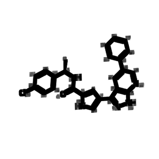 C[C@@H](NC(=O)c1cc(-c2n[nH]c3ncc(-c4ccccc4)cc23)c[nH]1)c1ccc(Cl)cc1